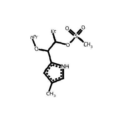 CCCOC(c1cc(C)c[nH]1)C(CC)OS(C)(=O)=O